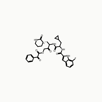 O=C(OCC(=O)C(C[C@@H]1CCCNC1=O)NC(=O)C(CC1CC1)NC(=O)c1cc2cccc(F)c2[nH]1)C(=O)c1ccccc1